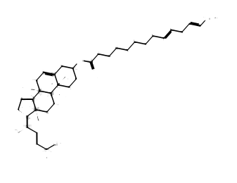 CCCCCC=CCC=CCCCCCCCC(=O)OC1CC[C@@]2(C)C(=CC[C@H]3[C@@H]4CC[C@H]([C@H](C)CC[C@@H](CC)C(C)C)[C@@]4(C)CC[C@@H]32)C1